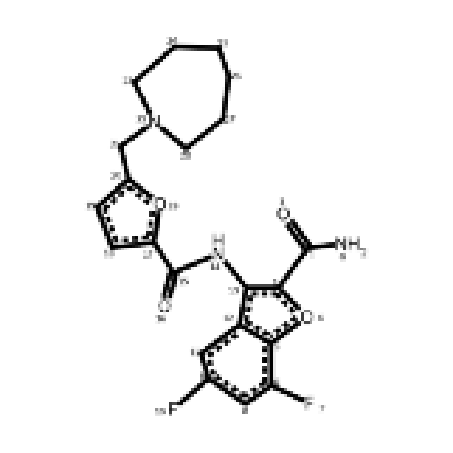 NC(=O)c1oc2c(F)cc(F)cc2c1NC(=O)c1ccc(CN2CCCCCC2)o1